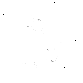 CCc1cc(F)c(OCc2c(NC(=S)OC)cccc2OC)cc1C